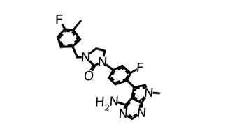 Cc1cc(CN2CCN(c3ccc(-c4cn(C)c5ncnc(N)c45)c(F)c3)C2=O)ccc1F